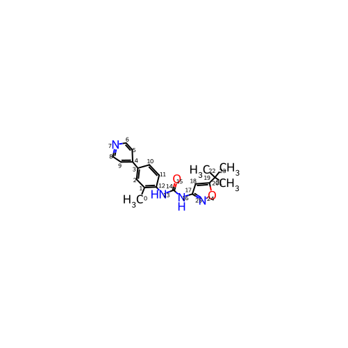 Cc1cc(-c2ccncc2)ccc1NC(=O)Nc1cc(C(C)(C)C)on1